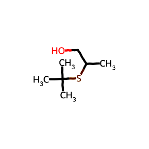 CC(CO)SC(C)(C)C